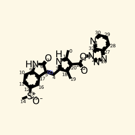 Cc1[nH]c(/C=C2\C(=O)Nc3ccc([S+](C)[O-])cc32)c(C)c1C(=O)On1nnc2cccnc21